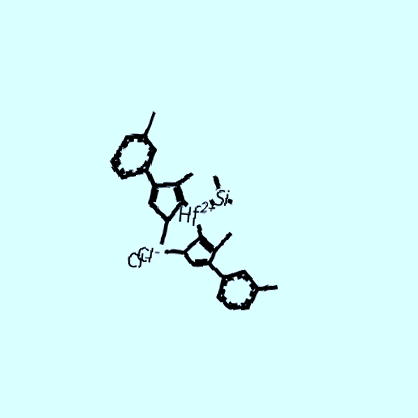 CC1=[C]([Hf+2]([C]2=C(C)C(c3cccc(C)c3)=CC2C)=[Si](C)C)C(C)C=C1c1cccc(C)c1.[Cl-].[Cl-]